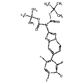 CC(C)(C)OC(=O)N(C(=O)OC(C)(C)C)c1nc2cc(-c3c(F)cc(F)c(Cl)c3F)ccn2n1